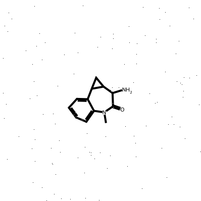 CN1C(=O)C(N)C2CC2c2ccccc21